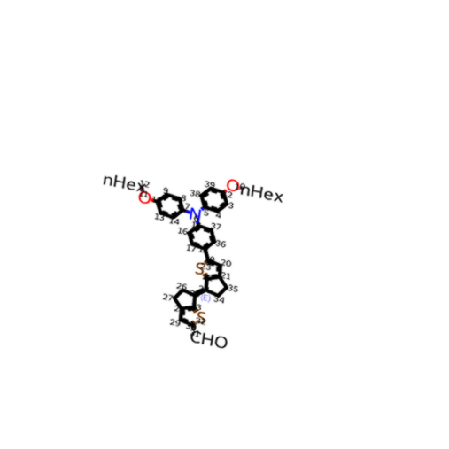 CCCCCCOc1ccc(N(c2ccc(OCCCCCC)cc2)c2ccc(-c3cc4c(s3)/C(=C3\CCc5cc(C=O)sc53)CC4)cc2)cc1